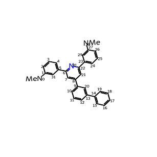 CNc1cccc(-c2cc(-c3cccc(-c4ccccc4)c3)cc(-c3cccc(NC)c3)n2)c1